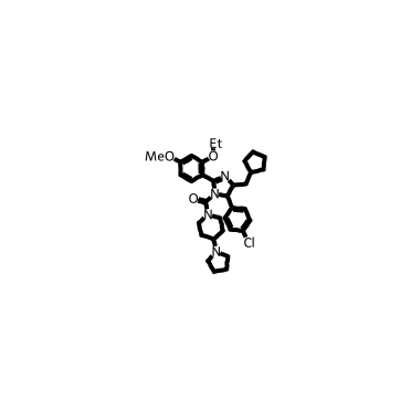 CCOc1cc(OC)ccc1C1=NC(CC2CCCC2)C(c2ccc(Cl)cc2)N1C(=O)N1CCC(N2CCCC2)CC1